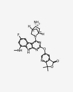 CNc1cc(F)cc2c1[nH]c1nc(Oc3cnc4c(c3)C(=O)OC4(C)C)nc(N3C[C@H]4C[C@@H]3C[C@H]4N)c12